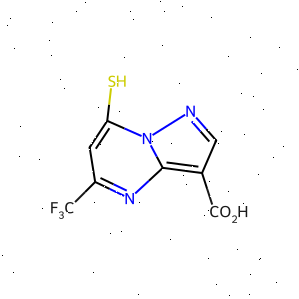 O=C(O)c1cnn2c(S)cc(C(F)(F)F)nc12